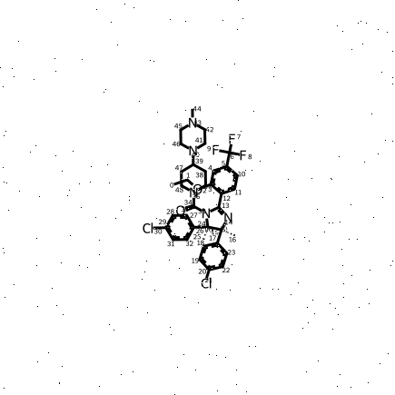 CCOc1cc(C(F)(F)F)ccc1C1=N[C@@](C)(c2ccc(Cl)cc2)[C@@](C)(c2ccc(Cl)cc2)N1C(=O)N1CCC(N2CCN(C)CC2)CC1